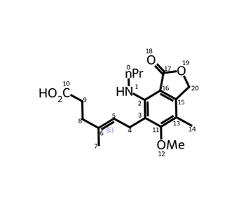 CCCNc1c(C/C=C(\C)CCC(=O)O)c(OC)c(C)c2c1C(=O)OC2